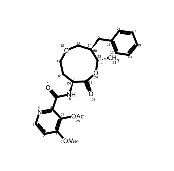 COc1ccnc(C(=O)N[C@H]2CCOC[C@@H](Cc3ccccc3)[C@H](C)OC2=O)c1OC(C)=O